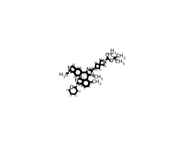 Cc1ccc2c(cnn2C2CCCCO2)c1-c1c(-c2ccc3c(cnn3C)c2)nc(C2CC3(C2)CN(C(=O)OC(C)(C)C)C3)n1C